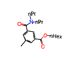 CCCCCCOC(=O)c1cc(C)cc(C(=O)N(CCC)CCC)c1